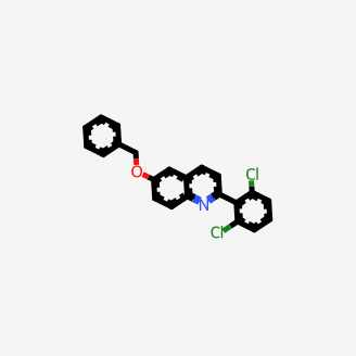 Clc1cccc(Cl)c1-c1ccc2cc(OCc3ccccc3)ccc2n1